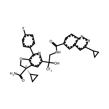 NC(=O)[C@@]1(C2CC2)COc2c1cc(C(O)(CNC(=O)c1ccc3nnc(C4CC4)cc3c1)C(F)(F)F)nc2-c1ccc(F)cc1